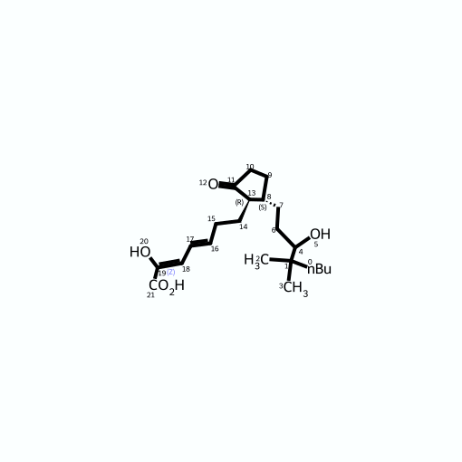 CCCCC(C)(C)C(O)CC[C@H]1CCC(=O)[C@@H]1CCC=C/C=C(\O)C(=O)O